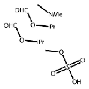 CC(C)OC=O.CC(C)OC=O.CNC.COS(=O)(=O)O